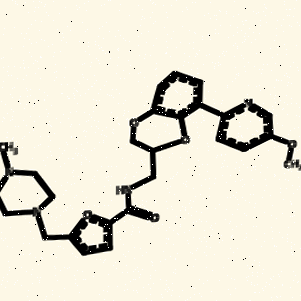 COc1ccc(-c2cccc3c2OC(CNC(=O)c2ccc(CN4CCN(C)CC4)o2)CO3)nc1